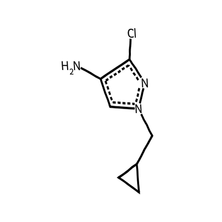 Nc1cn(CC2CC2)nc1Cl